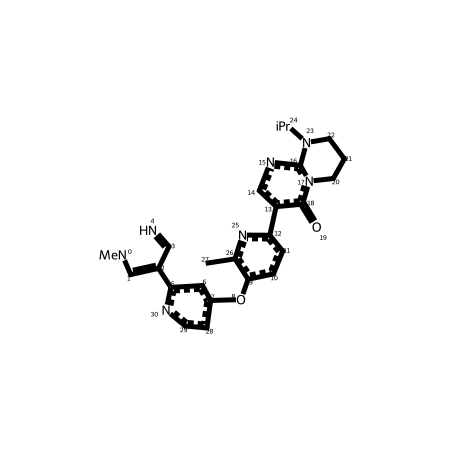 CN/C=C(\C=N)c1cc(Oc2ccc(-c3cnc4n(c3=O)CCCN4C(C)C)nc2C)ccn1